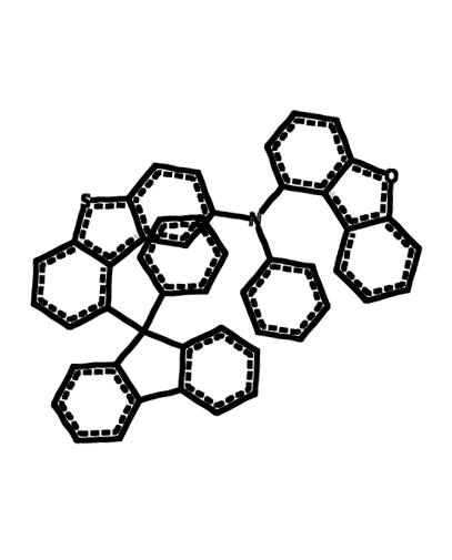 c1ccc(N(c2ccc3sc4cccc(C5(c6ccccc6)c6ccccc6-c6ccccc65)c4c3c2)c2cccc3oc4ccccc4c23)cc1